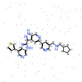 c1cc(-c2cncc3[nH]c(-c4n[nH]c5cnc(-c6cncc(CNCC7CCCC7)c6)cc45)nc23)cs1